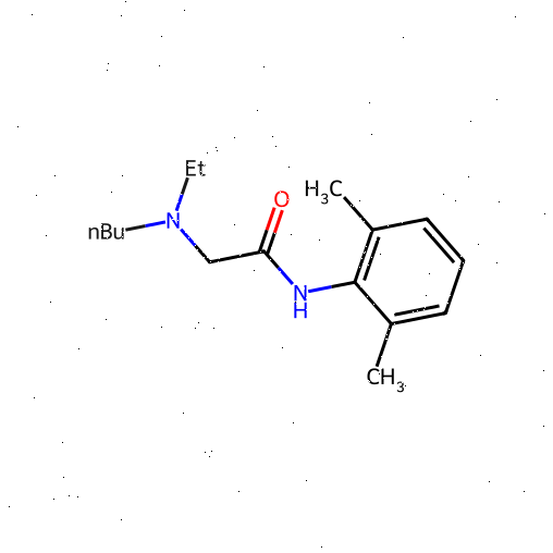 CCCCN(CC)CC(=O)Nc1c(C)cccc1C